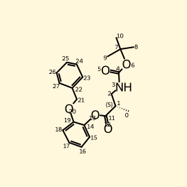 C[C@@H](CNC(=O)OC(C)(C)C)C(=O)Oc1ccccc1OCc1ccccc1